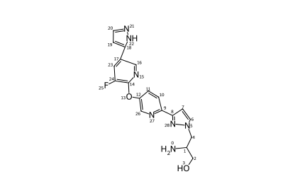 NC(CO)Cn1ccc(-c2ccc(Oc3ncc(-c4ccn[nH]4)cc3F)cn2)n1